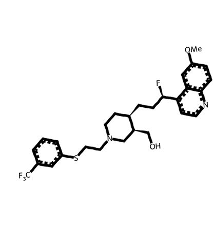 COc1ccc2nccc([C@H](F)CC[C@@H]3CCN(CCSc4cccc(C(F)(F)F)c4)C[C@@H]3CO)c2c1